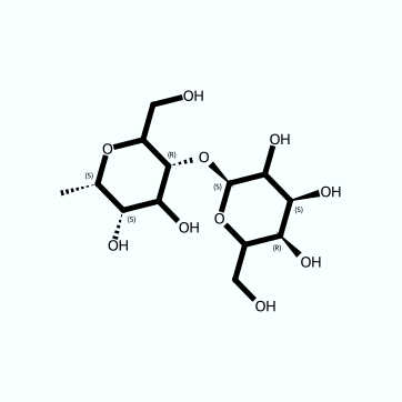 C[C@@H]1OC(CO)[C@H](O[C@@H]2OC(CO)[C@H](O)[C@H](O)C2O)C(O)[C@@H]1O